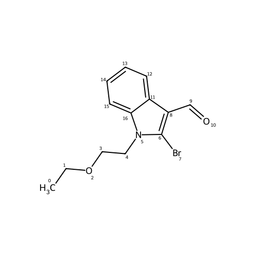 CCOCCn1c(Br)c(C=O)c2ccccc21